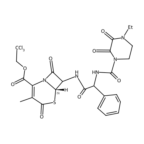 CCN1CCN(C(=O)NC(C(=O)NC2C(=O)N3C(C(=O)OCC(Cl)(Cl)Cl)=C(C)C(=O)S[C@@H]23)c2ccccc2)C(=O)C1=O